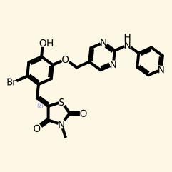 CN1C(=O)S/C(=C\c2cc(OCc3cnc(Nc4ccncc4)nc3)c(O)cc2Br)C1=O